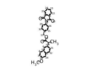 COc1ccc2cc(C(C)C(=O)OCc3ccc(N4C(=O)c5ccccc5C4=O)cc3)ccc2c1